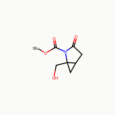 CC(C)(C)OC(=O)N1C(=O)CC2CC21CO